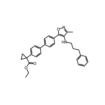 CCOC(=O)C1(c2ccc(-c3ccc(-c4onc(C)c4NCCCc4ccccc4)cc3)cc2)CC1